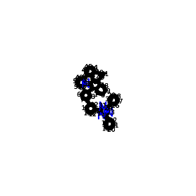 C1=CC2C(c3cccc(-c4cccc(-c5nc(-c6ccccc6)nc(-c6ccccc6)n5)c4)c3)=CC3=C(C2C=C1)C1CC1c1cccc(-c2ccccn2)c13